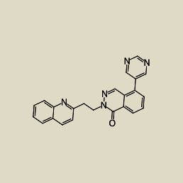 O=c1c2cccc(-c3cncnc3)c2cnn1CCc1ccc2ccccc2n1